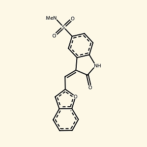 CNS(=O)(=O)c1ccc2c(c1)C(=Cc1cc3ccccc3o1)C(=O)N2